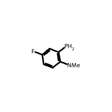 CNc1ccc(F)cc1P